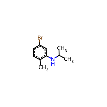 Cc1ccc(Br)cc1NC(C)C